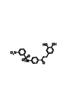 O=C(/C=C/c1ccc(O)c(O)c1)c1ccc(NS(=O)(=O)c2cccc([N+](=O)[O-])c2)cc1